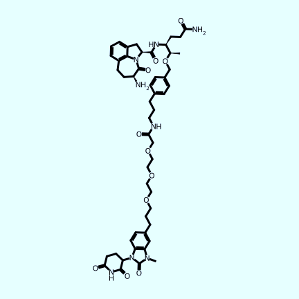 C[C@@H](OCc1ccc(CCCNC(=O)COCCOCCOCCCc2ccc3c(c2)n(C)c(=O)n3C2CCC(=O)NC2=O)cc1)[C@H](CCC(N)=O)NC(=O)[C@@H]1Cc2cccc3c2N1C(=O)[C@@H](N)CC3